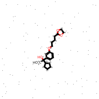 O=C(O)C(O)(c1cccc(OCCCCC2OCCO2)c1)C1CCCC1